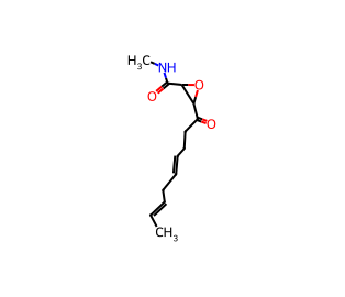 CC=CCC=CCCC(=O)C1OC1C(=O)NC